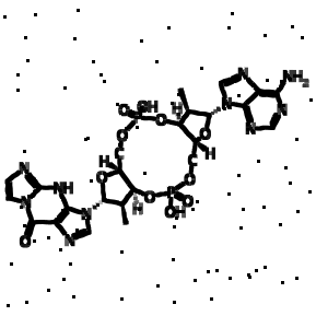 C[C@@H]1[C@@H]2OP(=O)(O)OC[C@H]3O[C@@H](n4cnc5c(=O)n6ccnc6[nH]c54)[C@H](C)[C@@H]3OP(=O)(O)OC[C@H]2O[C@H]1n1cnc2c(N)ncnc21